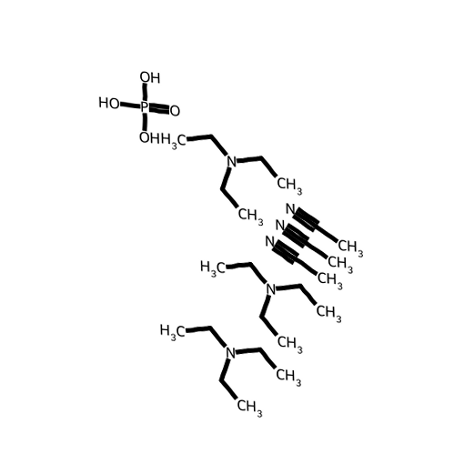 CC#N.CC#N.CC#N.CCN(CC)CC.CCN(CC)CC.CCN(CC)CC.O=P(O)(O)O